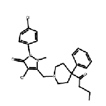 CCCC(=O)C1(c2ccccc2)CCN(Cc2c(Cl)c(=O)n(-c3ccc(Cl)cc3)n2C)CC1